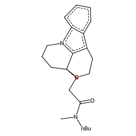 CCCCN(C)C(=O)CCC12CCCn3c1c(c1ccccc13)CCO2